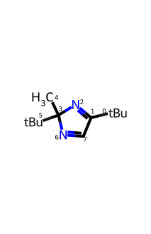 CC(C)(C)C1=NC(C)(C(C)(C)C)N=C1